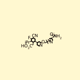 CC(C)c1c(F)c(C#N)cc(-c2ccnc(OCC(C)(C)n3cc([S+](N)[O-])cn3)c2)c1CC(=O)O